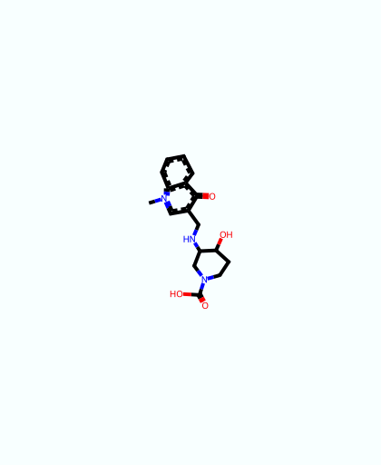 Cn1cc(CNC2CN(C(=O)O)CCC2O)c(=O)c2ccccc21